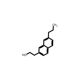 CCCc1ccc2ccc(CCO)cc2c1